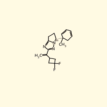 C=C(c1nc2n(n1)[C@@H](C1(C)C=CC=CC1)CC2)C1CC(F)(F)C1